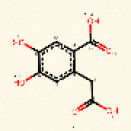 O=C(O)Cc1cc(O)c(O)cc1C(=O)O